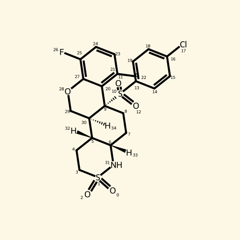 O=S1(=O)CC[C@H]2[C@H](CC[C@]3(S(=O)(=O)c4ccc(Cl)cc4)c4c(F)ccc(F)c4OC[C@H]23)N1